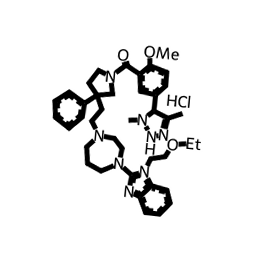 CCOCCn1c(N2CCCN(CCC3(c4ccccc4)CCN(C(=O)c4cc(C5C(C)=NNN5C)ccc4OC)C3)CC2)nc2ccccc21.Cl